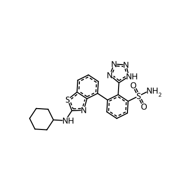 NS(=O)(=O)c1cccc(-c2cccc3sc(NC4CCCCC4)nc23)c1-c1nnn[nH]1